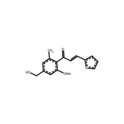 COc1cc(CO)cc(C)c1C(=O)/C=C/c1ccco1